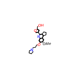 COc1cc2c3c(c(-c4coc(CO)c4)nc2cc1OCCCN1CCCC1)CCC3